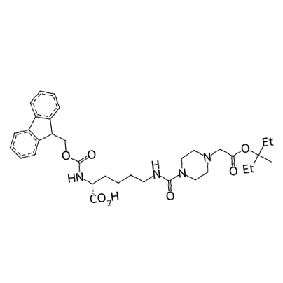 CCC(C)(CC)OC(=O)CN1CCN(C(=O)NCCCC[C@@H](NC(=O)OCC2c3ccccc3-c3ccccc32)C(=O)O)CC1